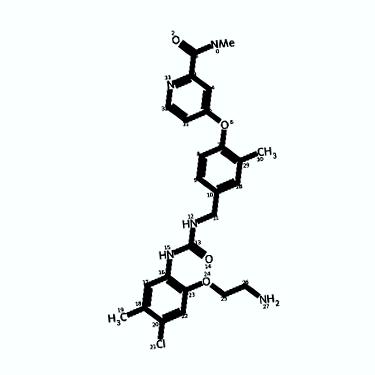 CNC(=O)c1cc(Oc2ccc(CNC(=O)Nc3cc(C)c(Cl)cc3OCCN)cc2C)ccn1